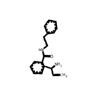 C=CC(N)c1ccccc1C(=O)NCCc1ccccc1